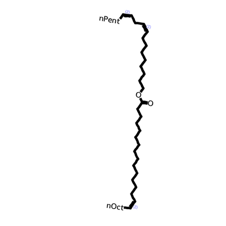 CCCCC/C=C\C/C=C\CCCCCCCCOC(=O)CCCCCCCCCCCCC/C=C\CCCCCCCC